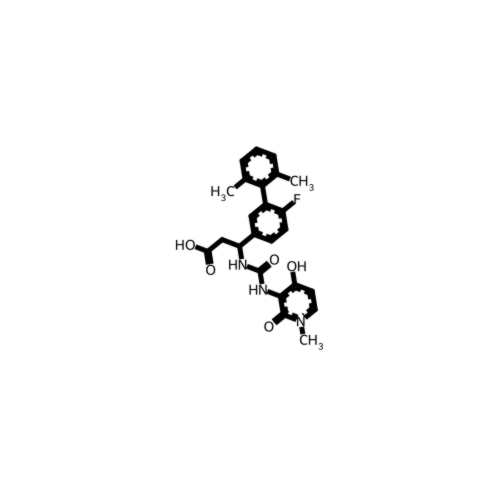 Cc1cccc(C)c1-c1cc(C(CC(=O)O)NC(=O)Nc2c(O)ccn(C)c2=O)ccc1F